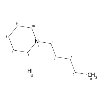 CCCCCN1CCCCC1.I